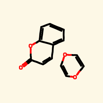 C1=COC=CO1.O=c1ccc2ccccc2o1